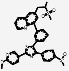 COc1ccc(-c2nc(-c3ccc([S+](C)[O-])cc3)c(-c3cccc(-c4cc(CC(C)S(C)(=O)=O)cc5cccnc45)c3)s2)cn1